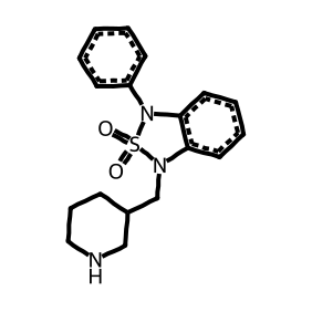 O=S1(=O)N(CC2CCCNC2)c2ccccc2N1c1ccccc1